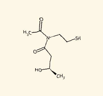 CC(=O)N(CCS)C(=O)C[C@@H](C)O